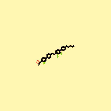 CCCCCC1CCC(c2ccc(CCC3=CCC(C4=CCC(C5CO5)C(F)=C4)C=C3)c(F)c2F)CC1